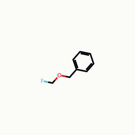 FCOCc1ccccc1